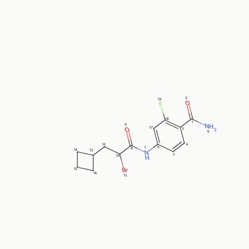 NC(=O)c1ccc(NC(=O)C(Br)CC2CCC2)cc1F